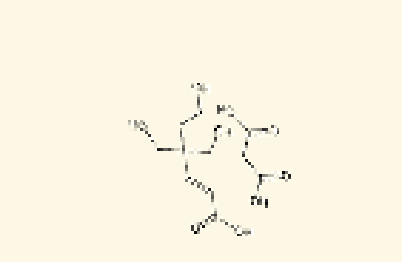 O=C(O)C=CC(CO)(CO)CCO.O=C(O)CC(=O)O